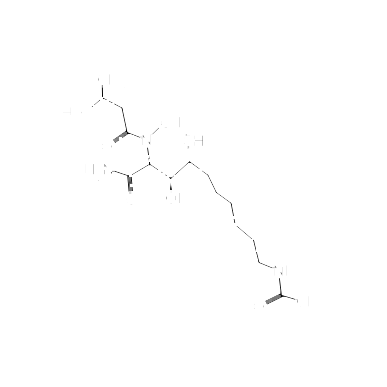 CC(=O)NCCCCCC[C@@H](C)[C@@H](O)C(C(N)=O)N(C)C(=O)CC(C)C